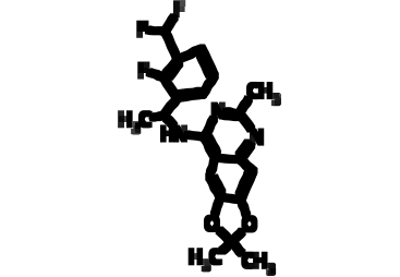 Cc1nc(NC(C)c2cccc(C(F)F)c2F)c2cc3c(cc2n1)OC(C)(C)O3